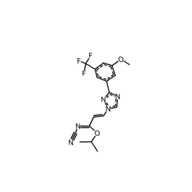 COc1cc(-c2ncn(C=CC(=NC#N)OC(C)C)n2)cc(C(F)(F)F)c1